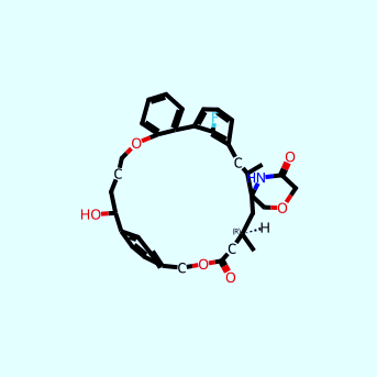 CC1Cc2cccc(c2F)-c2ccccc2OCCCC(O)c2ccc(cc2)COC(=O)C[C@H](C)CC12COCC(=O)N2